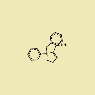 NCC1=NCC[N+]1(Cc1ccccc1)c1ccccc1